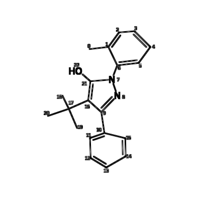 Cc1ccccc1-n1nc(-c2ccccc2)c(C(C)(C)C)c1O